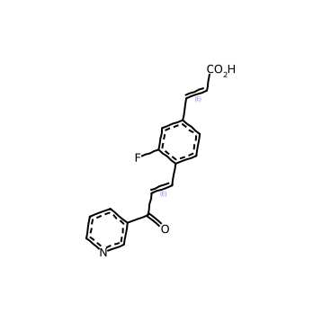 O=C(O)/C=C/c1ccc(/C=C/C(=O)c2cccnc2)c(F)c1